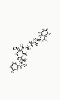 O=C(NCCNC(=O)c1c(Cl)ccc(NS(=O)(=O)Cc2ccccc2)c1Cl)N[C@@H]1CCc2ccccc21